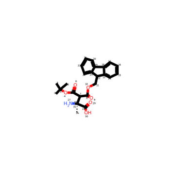 CC(C)(C)OC(=O)C(C(=O)OCC1c2ccccc2-c2ccccc21)[C@](C)(N)C(=O)O